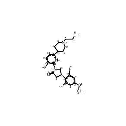 COc1cc(F)c([C@H]2CC(=O)N(c3nc(C4CCN(CCO)CC4)ccc3F)C2)c(F)c1